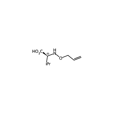 C=CCON[C@H](C(=O)O)C(C)C